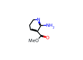 COC(=O)C1=CCCN=C1N